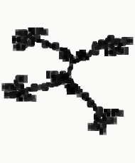 CC(=O)NC1C(OCCOCCOCCN/C=C(/CN(C/C(N)=C/N(N)CCOCCOCCOC2OC(CO)C(O)C(O)C2NC(C)=O)C(CCCCN(Cc2cn(CCOCCOCCOC3OC(CO)C(O)C(O)C3NC(C)=O)nn2)Cc2cn(CCOCCOCCOC3OC(CO)C(O)C(O)C3NC(C)=O)nn2)C(=O)O)N(C)N)OC(CO)C(O)C1O